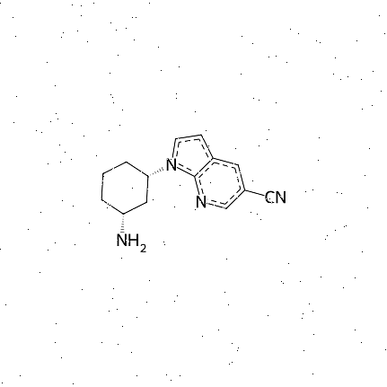 N#Cc1cnc2c(ccn2[C@H]2CCC[C@@H](N)C2)c1